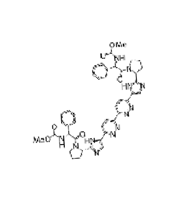 COC(=O)N[C@@H](C(=O)N1CCC[C@H]1c1ncc(-c2ccc(-c3ccc(-c4cnc([C@@H]5CCCN5C(=O)[C@H](NC(=O)OC)c5ccccc5)[nH]4)nn3)nn2)[nH]1)c1ccccc1